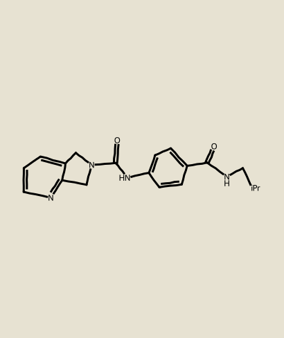 CC(C)CNC(=O)c1ccc(NC(=O)N2Cc3cccnc3C2)cc1